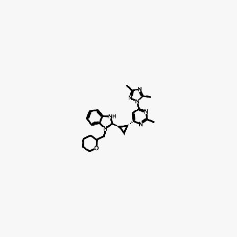 Cc1nc([C@@H]2C[C@H]2C2Nc3ccccc3N2CC2CCCCO2)cc(-n2nc(C)nc2C)n1